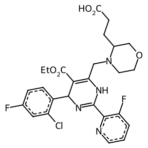 CCOC(=O)C1=C(CN2CCOCC2CCC(=O)O)NC(c2ncccc2F)=NC1c1ccc(F)cc1Cl